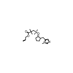 C=CCOC(=O)C(C)(C)C[Si](C)(C)ON1CCCC1Cc1cncn1C